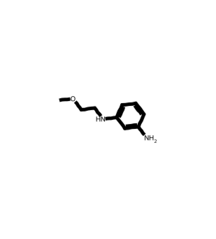 COCCNc1cccc(N)c1